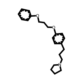 c1ccc(OCCCOc2ccc(CCCN3CCCC3)cc2)cc1